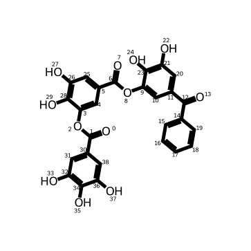 O=C(Oc1cc(C(=O)Oc2cc(C(=O)c3ccccc3)cc(O)c2O)cc(O)c1O)c1cc(O)c(O)c(O)c1